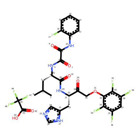 CC(C)C[C@H](NC(=O)C(=O)Nc1ccccc1F)C(=O)N[C@@H](Cc1cnc[nH]1)C(=O)COc1c(F)c(F)cc(F)c1F.O=C(O)C(F)(F)F